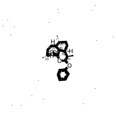 C[C@@H]1CC[C@H]2[C@@H](C)C(Oc3ccccc3)O[C@@H]3O[C@]4(C)CC[C@@H]1[C@]32OO4